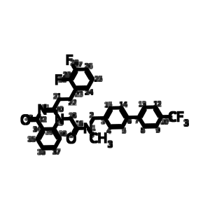 CN(Cc1ccc(-c2ccc(C(F)(F)F)cc2)cc1)C(=O)Cn1c(CCc2cccc(F)c2F)nc(=O)c2ccccc21